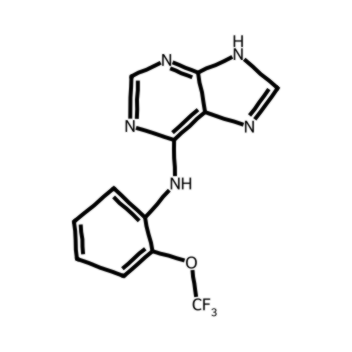 FC(F)(F)Oc1ccccc1Nc1ncnc2[nH]cnc12